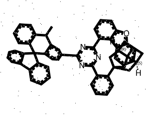 CC1c2ccccc2C2(c3ccccc3-c3ccccc32)c2ccc(-c3nc(-c4ccccc4C45C[C@H]6CC7C[C@@H](C4)C76C5)nc(-c4cccc5oc6ccccc6c45)n3)cc21